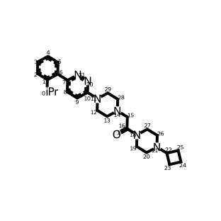 CC(C)c1ccccc1-c1ccc(N2CCN(CC(=O)N3CCN(C4CCC4)CC3)CC2)nn1